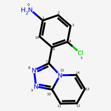 Nc1ccc(Cl)c(-c2nnc3ccccn23)c1